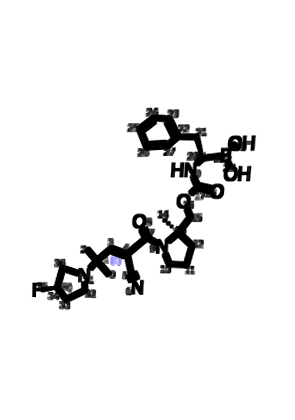 CC(C)(/C=C(\C#N)C(=O)N1CCC[C@]1(C)COC(=O)N[C@@H](Cc1ccccc1)B(O)O)N1CC[C@@H](F)C1